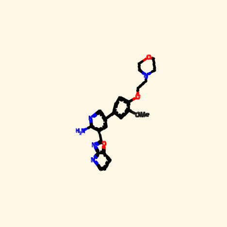 COc1cc(-c2cnc(N)c(-c3nc4ncccc4o3)c2)ccc1OCCN1CCOCC1